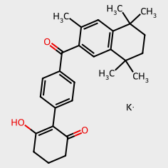 Cc1cc2c(cc1C(=O)c1ccc(C3=C(O)CCCC3=O)cc1)C(C)(C)CCC2(C)C.[K]